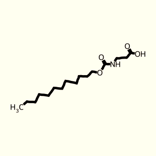 CCCCCCCCCCCCOC(=O)NCCC(=O)O